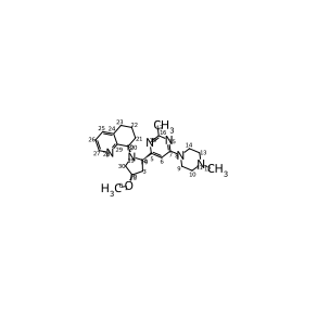 CO[C@@H]1C[C@H](c2cc(N3CCN(C)CC3)nc(C)n2)N([C@@H]2CCCc3cccnc32)C1